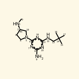 CN[C@@H]1CCN(c2nc(N)nc(NCC(C)(C)C)n2)C1